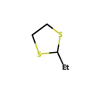 [CH2]CC1SCCS1